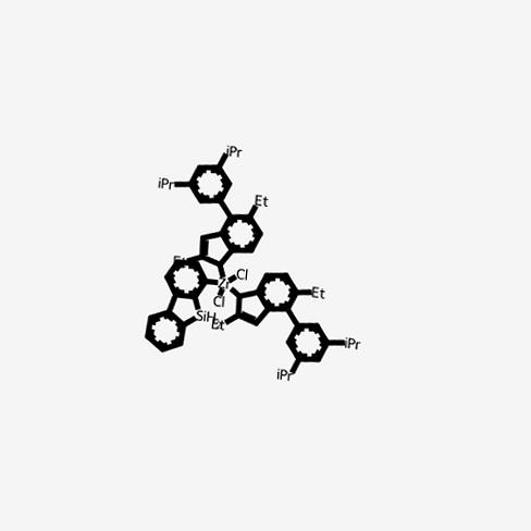 CCC1=Cc2c(ccc(CC)c2-c2cc(C(C)C)cc(C(C)C)c2)[CH]1[Zr]([Cl])([Cl])([c]1cccc2c1[SiH2]c1ccccc1-2)[CH]1C(CC)=Cc2c1ccc(CC)c2-c1cc(C(C)C)cc(C(C)C)c1